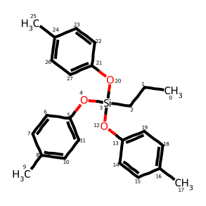 CCC[Si](Oc1ccc(C)cc1)(Oc1ccc(C)cc1)Oc1ccc(C)cc1